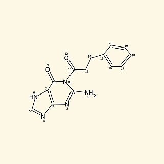 Nc1nc2nc[nH]c2c(=O)n1C(=O)CCc1ccccc1